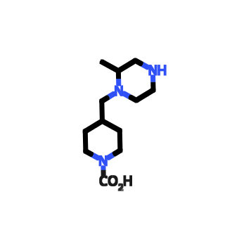 CC1CNCCN1CC1CCN(C(=O)O)CC1